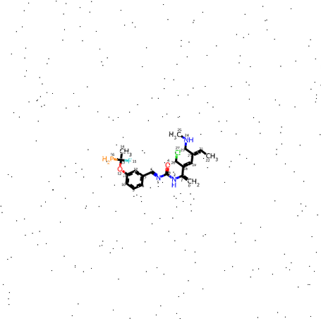 C=C(NC(=O)/N=C/c1cccc(OC(C)(F)P)c1)/C(=C/C(=C\C)CNC)CCl